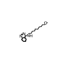 COCCCCCCCCCCNc1ncnc2ccccc12